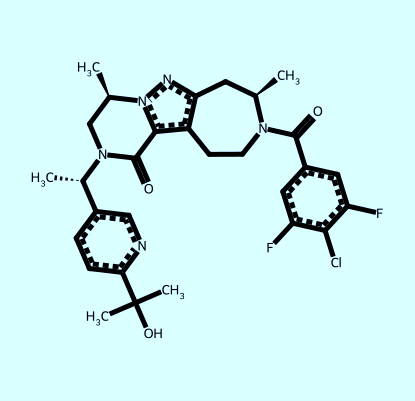 C[C@@H]1Cc2nn3c(c2CCN1C(=O)c1cc(F)c(Cl)c(F)c1)C(=O)N([C@@H](C)c1ccc(C(C)(C)O)nc1)C[C@H]3C